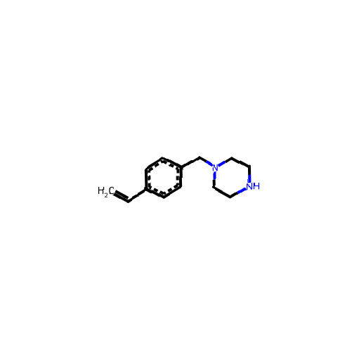 C=Cc1ccc(CN2CCNCC2)cc1